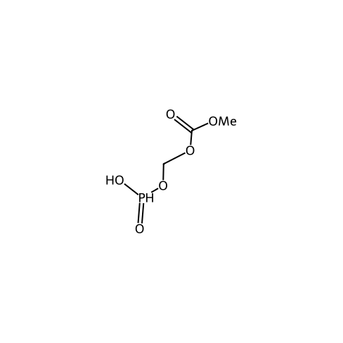 COC(=O)OCO[PH](=O)O